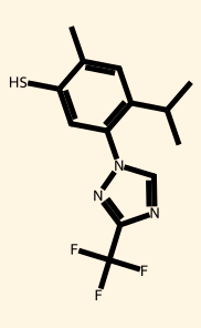 Cc1cc(C(C)C)c(-n2cnc(C(F)(F)F)n2)cc1S